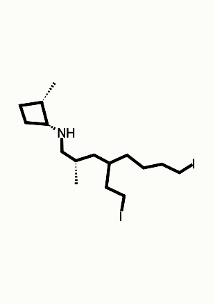 C[C@H](CN[C@@H]1CC[C@@H]1C)CC(CCI)CCCCI